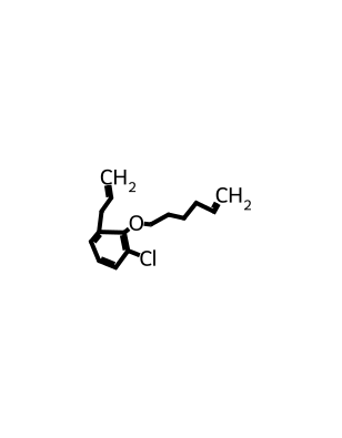 C=CCCCCOc1c(Cl)cccc1CC=C